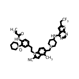 C=CC(=O)Nc1ccc(CCn2c(C#N)cc3c(C)c(CN4CCC(Nc5ncnc6sc(CC(F)(F)F)cc56)CC4)ccc32)cc1P1(=O)CCCCC1